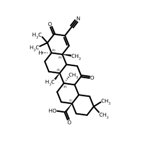 CC1(C)CC[C@]2(C(=O)O)CC[C@]3(C)C(C(=O)CC4[C@@]5(C)C=C(C#N)C(=O)C(C)(C)[C@@H]5CC[C@]43C)C2C1